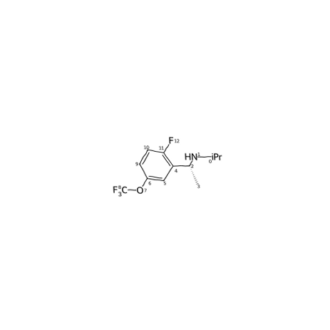 CC(C)N[C@H](C)c1cc(OC(F)(F)F)ccc1F